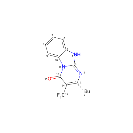 CC[C@@H](C)c1nc2[nH]c3ccccc3n2c(=O)c1C(F)(F)F